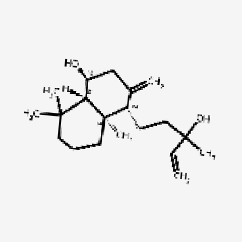 C=CC(C)(O)CC[C@H]1C(=C)C[C@H](O)[C@H]2C(C)(C)CCC[C@]12C